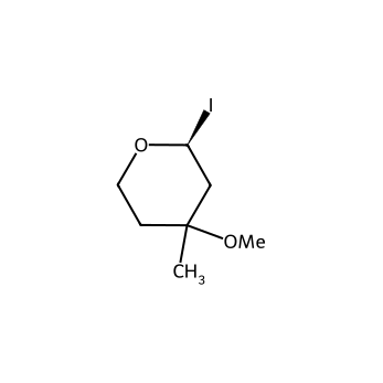 COC1(C)CCO[C@@H](I)C1